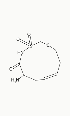 NC1C/C=C\CCCCS(=O)(=O)NC1=O